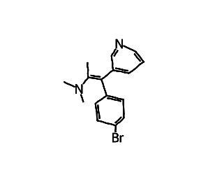 CC(=C(c1ccc(Br)cc1)c1cccnc1)N(C)C